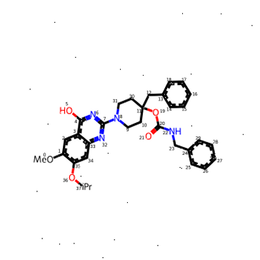 COc1cc2c(O)nc(N3CCC(Cc4ccccc4)(OC(=O)NCc4ccccc4)CC3)nc2cc1OC(C)C